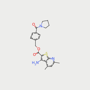 Cc1cc(C)c2c(N)c(C(=O)OCc3ccc(C(=O)N4CCCC4)cc3)sc2n1